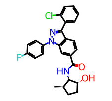 C[C@@H]1CC[C@@H](O)[C@H]1NC(=O)c1ccc2c(-c3ccccc3Cl)nn(-c3ccc(F)cc3)c2c1